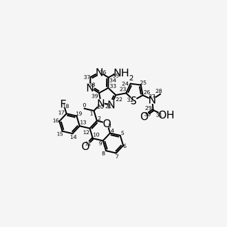 CC(c1oc2ccccc2c(=O)c1-c1cccc(F)c1)n1nc(-c2ccc(N(C)C(=O)O)s2)c2c(N)ncnc21